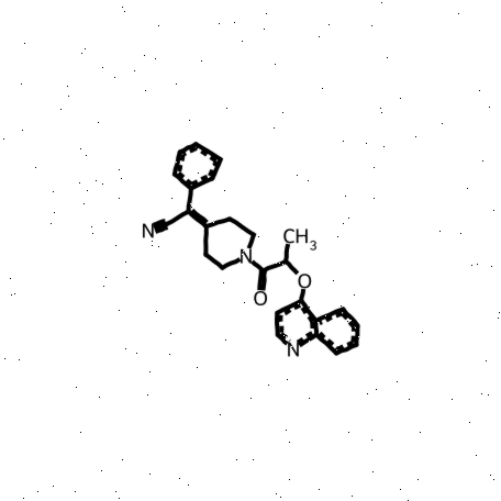 CC(Oc1ccnc2ccccc12)C(=O)N1CCC(=C(C#N)c2ccccc2)CC1